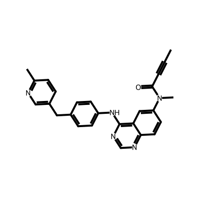 CC#CC(=O)N(C)c1ccc2ncnc(Nc3ccc(Cc4ccc(C)nc4)cc3)c2c1